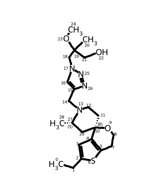 CCc1cc2c(s1)CCO[C@@]21CCN(Cc2cn(CC(C)(CO)OC)nn2)[C@@H](C)C1